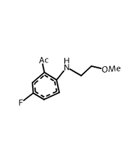 COCCNc1ccc(F)cc1C(C)=O